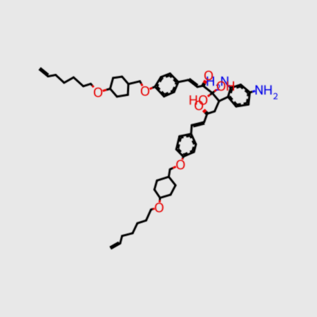 C=CCCCCCOC1CCC(COc2ccc(C=CC(=O)CC(c3ccc(N)cc3N)C(O)(O)C(=O)C=Cc3ccc(OCC4CCC(OCCCCCC=C)CC4)cc3)cc2)CC1